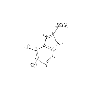 O=S(=O)(O)c1nc2c(Cl)c(Cl)ccc2s1